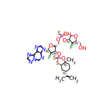 C=C(C)[C@H]1CC[C@@]2(C)OP(=S)(O[C@H]3[C@@H](F)[C@H](n4cnc5c4ncn4ncnc54)O[C@@H]3COP(O)(=S)O[C@H]3CO[C@H](CO)[C@H]3F)SC2C1